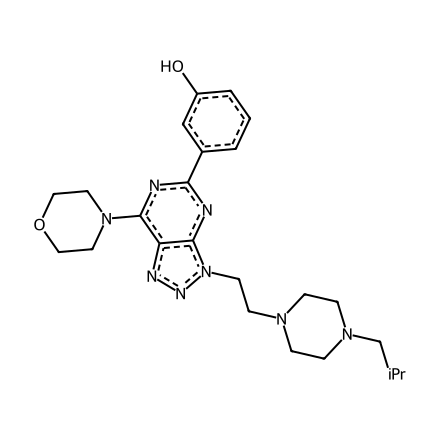 CC(C)CN1CCN(CCn2nnc3c(N4CCOCC4)nc(-c4cccc(O)c4)nc32)CC1